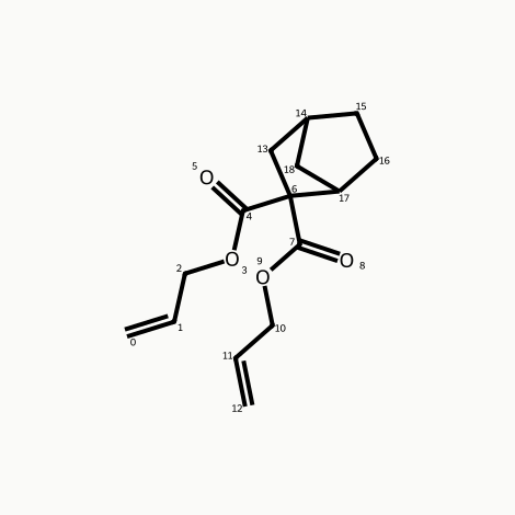 C=CCOC(=O)C1(C(=O)OCC=C)CC2CCC1C2